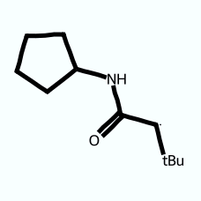 CC(C)(C)[CH]C(=O)NC1CCCC1